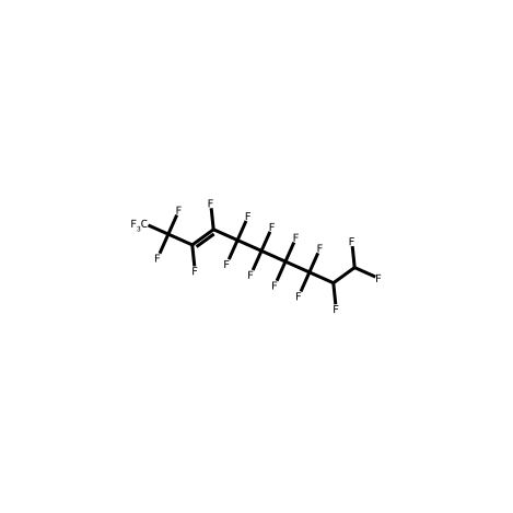 FC(=C(F)C(F)(F)C(F)(F)C(F)(F)C(F)(F)C(F)C(F)F)C(F)(F)C(F)(F)F